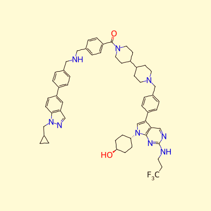 O=C(c1ccc(CNCc2ccc(-c3ccc4c(cnn4CC4CC4)c3)cc2)cc1)N1CCC(C2CCN(Cc3ccc(-c4cn([C@H]5CC[C@H](O)CC5)c5nc(NCCC(F)(F)F)ncc45)cc3)CC2)CC1